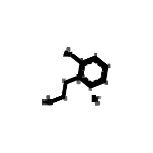 CC(=O)c1cccc[n+]1CCO.[Br-]